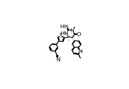 Cc1ccc2cc([C@H]3C(=O)N(C)C(=N)N[C@]3(C)c3cc(-c4cccc(C#N)c4)cs3)ccc2n1